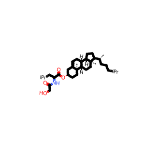 CC(C)CCC[C@@H](C)C1CC[C@H]2[C@@H]3CC=C4C[C@@H](OC(=O)C(CC(C)C)NC(=O)CO)CC[C@]4(C)[C@H]3CC[C@]12C